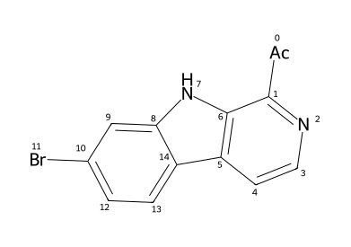 CC(=O)c1nccc2c1[nH]c1cc(Br)ccc12